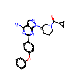 Nc1nc(-c2ccc(Oc3ccccc3)cc2)nc2c1cnn2[C@@H]1CCCN(C(=O)C2CC2)C1